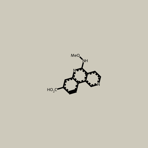 CONc1nc2cc(C(=O)O)c#cc2c2cnccc12